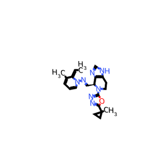 C/C=C1/C(C)=CC=CN1/N=C/[C@H]1c2nc[nH]c2CCN1c1nnc(C2(C)CC2)o1